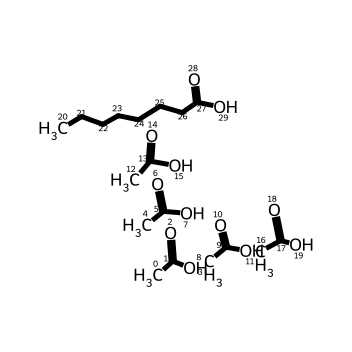 CC(=O)O.CC(=O)O.CC(=O)O.CC(=O)O.CC(=O)O.CCCCCCCC(=O)O